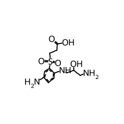 NCC(O)CNc1ccc(N)cc1S(=O)(=O)CCC(=O)O